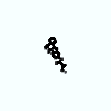 CC1CC1C(=O)Nc1cc2cc(-c3ccccc3C#N)n(C)c2cn1